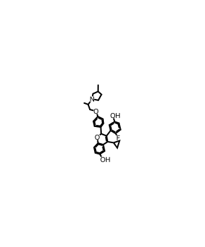 CC1CCN(C(C)COc2ccc(C3Oc4ccc(O)cc4C(C4CC4)=C3c3cc(O)ccc3F)cc2)C1